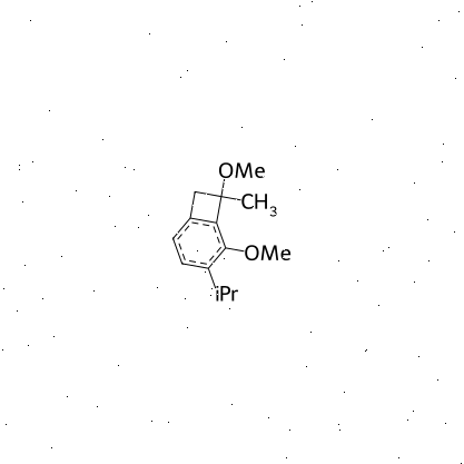 COc1c(C(C)C)ccc2c1C(C)(OC)C2